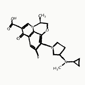 C[C@H]1COc2c(N3CCC(N(C)C4CC4)C3)c(F)cc3c(=O)c(C(=O)O)cn1c23